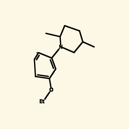 CCOc1cc[c]c(N2CC(C)CCC2C)c1